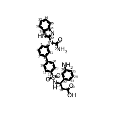 NC(=O)N(c1cccc(-c2ccc(S(=O)(=O)NC(CC(=O)O)c3cccc(N)c3)cc2)c1)c1nc2ccccc2[nH]1